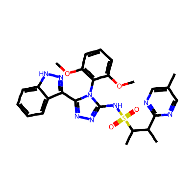 COc1cccc(OC)c1-n1c(NS(=O)(=O)C(C)C(C)c2ncc(C)cn2)nnc1-c1n[nH]c2ccccc12